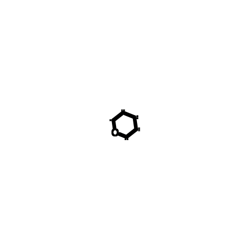 [C]1[C][C]O[CH][C]1